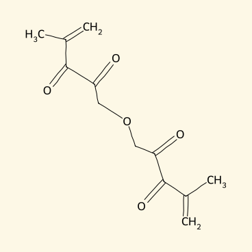 C=C(C)C(=O)C(=O)COCC(=O)C(=O)C(=C)C